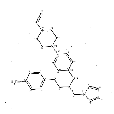 Cc1ccc(CCC(Cn2ccnc2)Oc2ccc(N3CCN(C=O)CC3)cc2)cc1